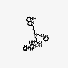 O=C(O)C(CCN(CCCCc1ccc2c(n1)NCCC2)CCOc1ccccn1)Nc1cc(-n2cccn2)ncn1